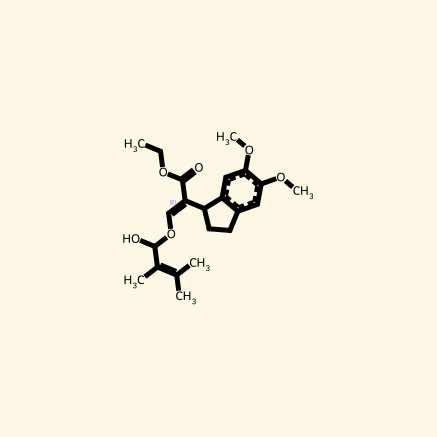 CCOC(=O)/C(=C/OC(O)C(C)=C(C)C)C1CCc2cc(OC)c(OC)cc21